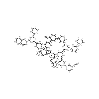 N#Cc1cccc(-c2ccc3c(c2)-c2cc(-c4nc(-c5cccc(-c6ccccc6)c5)nc(-c5cccc(-c6ccc(C#N)c(-c7ccc8c(c7)-c7cc(-c9nc(-c%10ccccc%10)nc(-c%10ccc%11ccccc%11c%10)n9)ccc7C87c8ccccc8Oc8ccccc87)c6)c5)n4)ccc2C32c3ccccc3Oc3ccccc32)c1